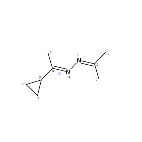 CC(C)=N/N=C(\C)C1CC1